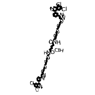 CN1Cc2c(Cl)cc(Cl)cc2[C@H](c2cccc(-c3cc(OCCOCCOCCOCCNC(=O)CCCCC(=O)NCCOCCOCCOCCOc4cc(-c5cccc([C@@H]6CN(C)Cc7c(Cl)cc(Cl)cc76)c5)ncn4)ncn3)c2)C1.Cl